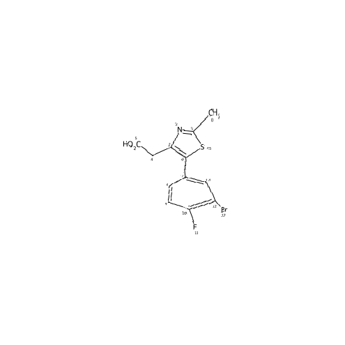 Cc1nc(CC(=O)O)c(-c2ccc(F)c(Br)c2)s1